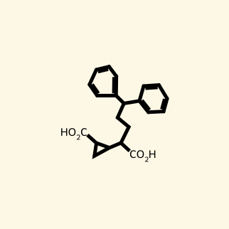 O=C(O)C(CCC(c1ccccc1)c1ccccc1)C1CC1C(=O)O